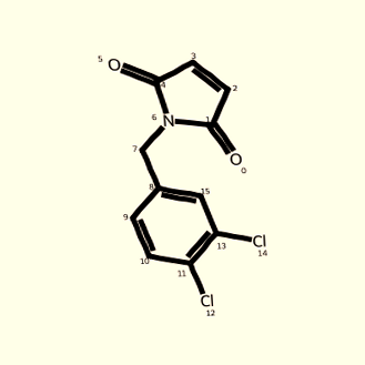 O=C1C=CC(=O)N1Cc1ccc(Cl)c(Cl)c1